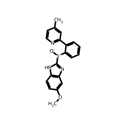 COc1ccc2[nH]c([S+]([O-])c3ccccc3-c3cc(C)ccn3)nc2c1